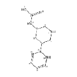 O=C(O)NC1CNCC(N2N=CC=CN2)C1